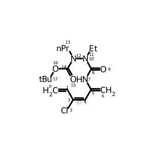 C=C/C(Cl)=C\C(=C)NC(=O)N(CC)N(CCC)C(=O)OC(C)(C)C